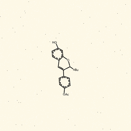 CCCCC1Oc2cc(O)ccc2C=C1c1ccc(OC(C)=O)cc1